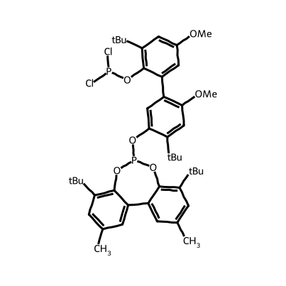 COc1cc(-c2cc(Op3oc4c(C(C)(C)C)cc(C)cc4c4cc(C)cc(C(C)(C)C)c4o3)c(C(C)(C)C)cc2OC)c(OP(Cl)Cl)c(C(C)(C)C)c1